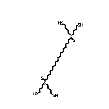 S=C(CCCCCCCCCCCCCCCCCCC(=S)N(CCCCS)CCCCS)N(CCCCS)CCCCS